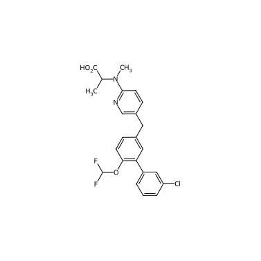 CC(C(=O)O)N(C)c1ccc(Cc2ccc(OC(F)F)c(-c3cccc(Cl)c3)c2)cn1